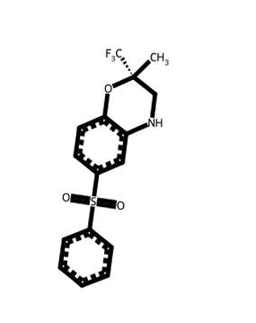 C[C@@]1(C(F)(F)F)CNc2cc(S(=O)(=O)c3ccccc3)ccc2O1